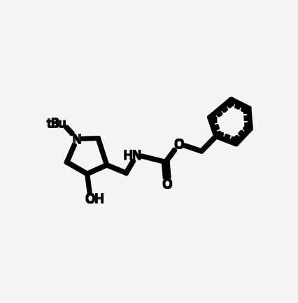 CC(C)(C)N1CC(O)C(CNC(=O)OCc2ccccc2)C1